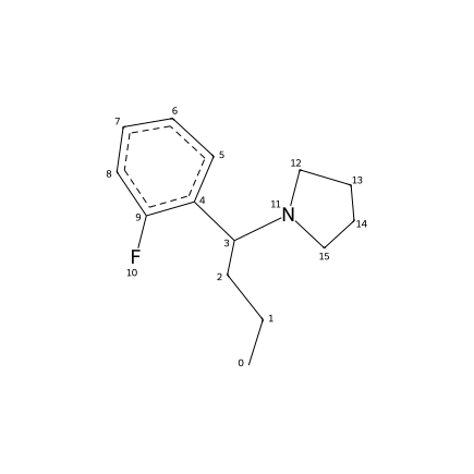 CCCC(c1ccccc1F)N1CCCC1